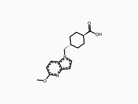 COc1ccc2c(ccn2C[C@H]2CC[C@H](C(=O)O)CC2)n1